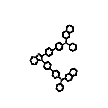 c1ccc(N(c2ccc(-c3ccc(-c4nc5ccccc5n4-c4ccc(-c5ccc(N(c6ccccc6)c6ccc7ccccc7c6)cc5)cc4)cc3)cc2)c2ccc3ccccc3c2)cc1